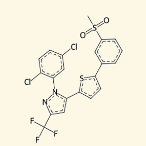 CS(=O)(=O)c1cccc(-c2ccc(-c3cc(C(F)(F)F)nn3-c3cc(Cl)ccc3Cl)s2)c1